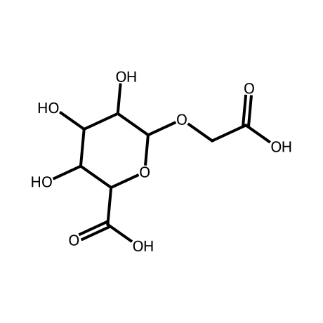 O=C(O)COC1OC(C(=O)O)C(O)C(O)C1O